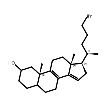 CC(C)CCC[C@@H](C)[C@H]1CC=C2C3=C(CC[C@@]21C)[C@@]1(C)CC(O)CCC1CC3